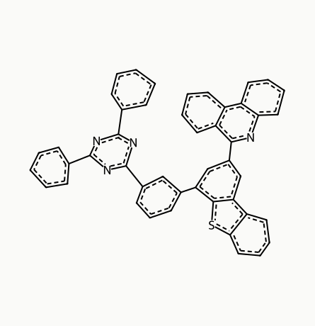 c1ccc(-c2nc(-c3ccccc3)nc(-c3cccc(-c4cc(-c5nc6ccccc6c6ccccc56)cc5c4sc4ccccc45)c3)n2)cc1